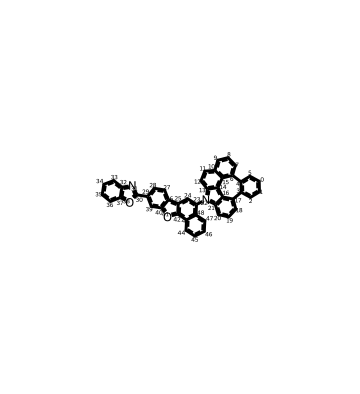 c1ccc2c(c1)-c1cccc3ccc4c(c13)c1c-2cccc1n4-c1cc2c3ccc(-c4nc5ccccc5o4)cc3oc2c2ccccc12